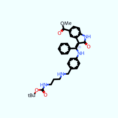 COC(=O)c1ccc2c(c1)/C(=C(/Nc1ccc(CNCCCNC(=O)OC(C)(C)C)cc1)c1ccccc1)C(=O)N2